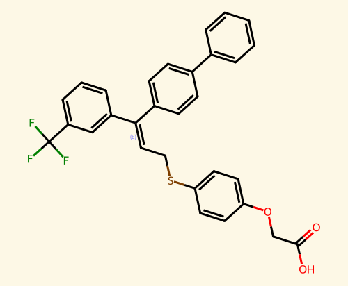 O=C(O)COc1ccc(SC/C=C(\c2ccc(-c3ccccc3)cc2)c2cccc(C(F)(F)F)c2)cc1